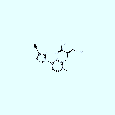 C#Cc1cnn(-c2ccc(C)c(O/C(=C\OC)C(=O)OC)c2)c1